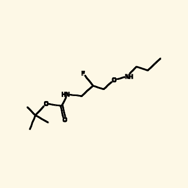 CCCNOCC(F)CNC(=O)OC(C)(C)C